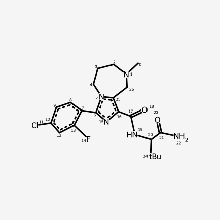 CN1CCCn2c(-c3ccc(Cl)cc3F)nc(C(=O)NC(C(N)=O)C(C)(C)C)c2C1